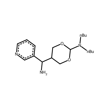 CCCCN(CCCC)C1OCC(C(N)c2cccnc2)CO1